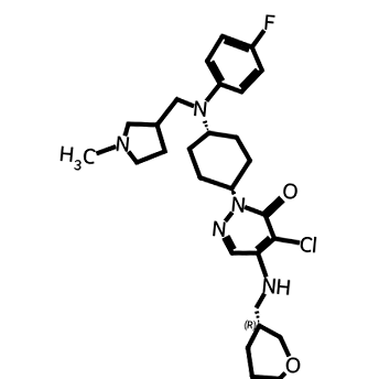 CN1CCC(CN(c2ccc(F)cc2)[C@H]2CC[C@@H](n3ncc(NC[C@H]4CCCOC4)c(Cl)c3=O)CC2)C1